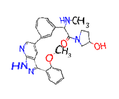 CNC(C(=O)N1CCC(O)C1)c1cccc(-c2cnc3[nH]nc(-c4ccccc4OC)c3c2)c1